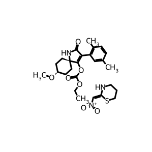 CCOC(=O)OC1=C(c2cc(C)ccc2C)C(=O)N[C@]12CC[C@@H](OC)CC2.O=[N+]([O-])/C=C1/NCCCS1